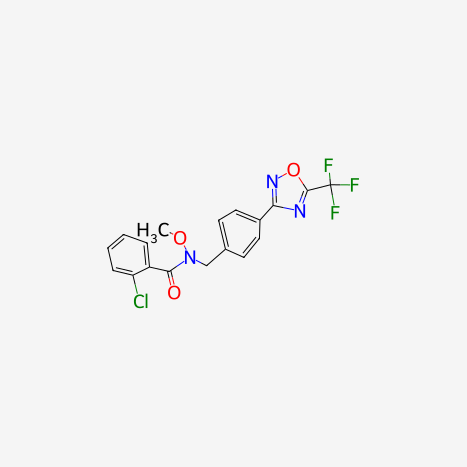 CON(Cc1ccc(-c2noc(C(F)(F)F)n2)cc1)C(=O)c1ccccc1Cl